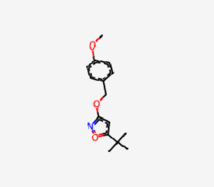 COc1ccc(COc2cc(C(C)(C)C)on2)cc1